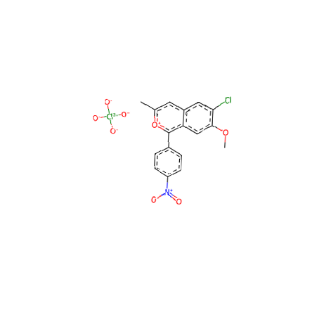 COc1cc2c(-c3ccc([N+](=O)[O-])cc3)[o+]c(C)cc2cc1Cl.[O-][Cl+3]([O-])([O-])[O-]